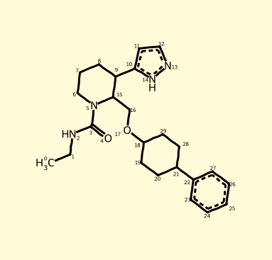 CCNC(=O)N1CCCC(c2ccn[nH]2)C1COC1CCC(c2ccccc2)CC1